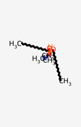 CCCCCCCCCCCCCCCC(=O)[PH-](OCC[N+](C)(C)C)C(=O)CCCCCCCCCCCCCCC